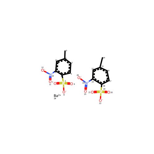 Cc1ccc(S(=O)(=O)[O-])c([N+](=O)[O-])c1.Cc1ccc(S(=O)(=O)[O-])c([N+](=O)[O-])c1.[Ba+2]